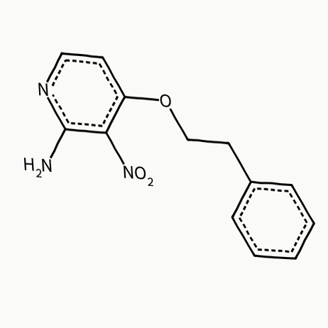 Nc1nccc(OCCc2ccccc2)c1[N+](=O)[O-]